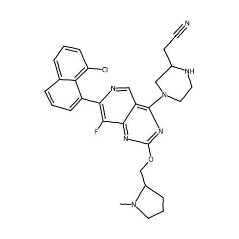 CN1CCCC1COc1nc(N2CCNC(CC#N)C2)c2cnc(-c3cccc4cccc(Cl)c34)c(F)c2n1